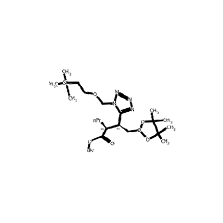 CCC[C@H](C(=O)OC(C)(C)C)[C@H](CB1OC(C)(C)C(C)(C)O1)c1nnnn1COCC[Si](C)(C)C